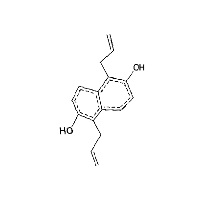 C=CCc1c(O)ccc2c(CC=C)c(O)ccc12